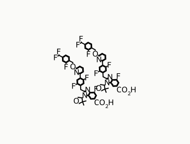 CC1(C)COCC1n1c(Cc2cc(F)c(-c3cccc(OCc4ccc(C(F)F)cc4F)n3)cc2F)nc2c(F)cc(C(=O)O)cc21.CC1(C)COCC1n1c(Cc2cc(F)c(-c3cccc(OCc4ccc(C(F)F)cc4F)n3)cc2F)nc2c(F)cc(C(=O)O)cc21